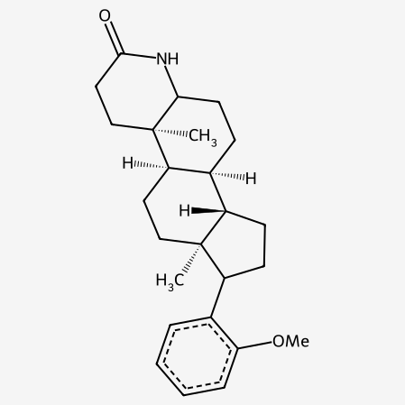 COc1ccccc1C1CC[C@H]2[C@@H]3CCC4NC(=O)CC[C@]4(C)[C@@H]3CC[C@]12C